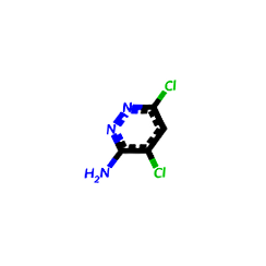 Nc1nnc(Cl)cc1Cl